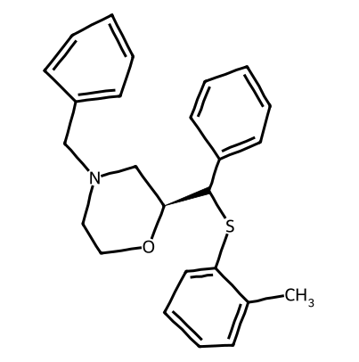 Cc1ccccc1SC(c1ccccc1)[C@@H]1CN(Cc2ccccc2)CCO1